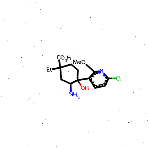 CCC1(C(=O)O)CCC(O)(c2ccc(Cl)nc2OC)C(N)C1